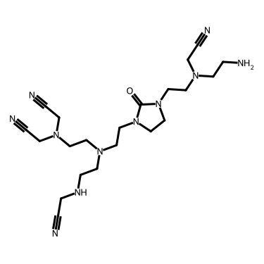 N#CCNCCN(CCN(CC#N)CC#N)CCN1CCN(CCN(CC#N)CCN)C1=O